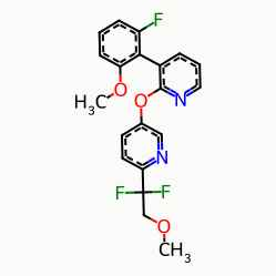 COCC(F)(F)c1ccc(Oc2ncccc2-c2c(F)cccc2OC)cn1